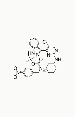 CC(C)(C)OC(=O)N(Cc1ccc([N+](=O)[O-])cc1)[C@H]1CCCC(Nc2ncc(Cl)c(-c3n[nH]c4ccccc34)n2)C1